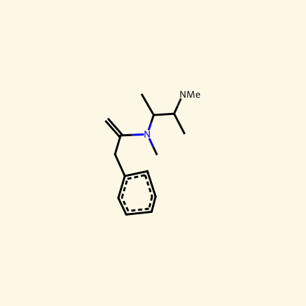 C=C(Cc1ccccc1)N(C)C(C)C(C)NC